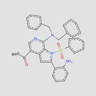 COC(=O)c1cnc(N(Cc2ccccc2)Cc2ccccc2)c2c1cc(-c1ccccc1N)n2S(=O)(=O)c1ccccc1